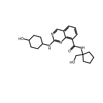 O=C(NC1(CO)CCCC1)c1cccc2cnc(NC3CCC(O)CC3)nc12